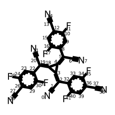 N#CC(=C1C(=C(C#N)c2cc(F)c(C#N)cc2F)C1=C(C#N)c1cc(F)c(C#N)cc1F)c1cc(F)c(C#N)cc1F